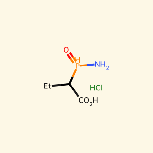 CCC(C(=O)O)[PH](N)=O.Cl